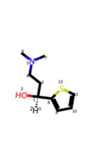 [2H][C@](O)(CCN(C)C)c1cccs1